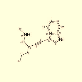 CCCC(C#Cc1cnc2cccnn12)CNC